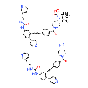 CC(C)(C)N(C(=O)O)C1CCN(C(=O)c2ccc(C#Cc3cc(NC(=O)NCCc4cccnc4)ccc3-c3ccncc3)cc2)CC1.NC1CCN(C(=O)c2ccc(C#Cc3cc(NC(=O)NCCc4cccnc4)ccc3-c3ccncc3)cc2)CC1